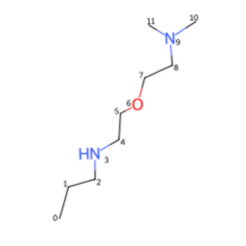 CCCNCCOCCN(C)C